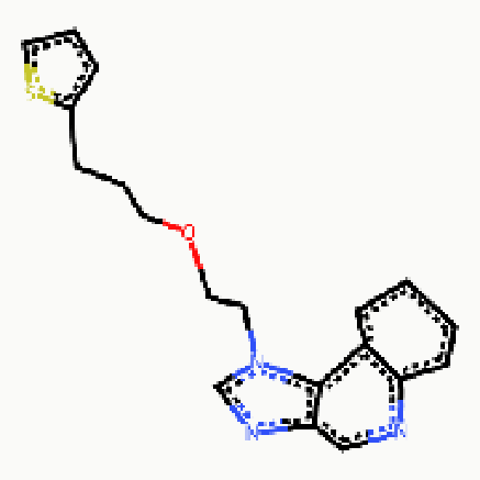 c1csc(CCCOCCn2cnc3cnc4ccccc4c32)c1